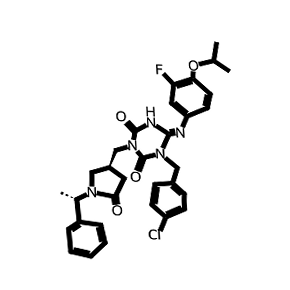 CC(C)Oc1ccc(/N=c2\[nH]c(=O)n(C[C@H]3CC(=O)N([C@@H](C)c4ccccc4)C3)c(=O)n2Cc2ccc(Cl)cc2)cc1F